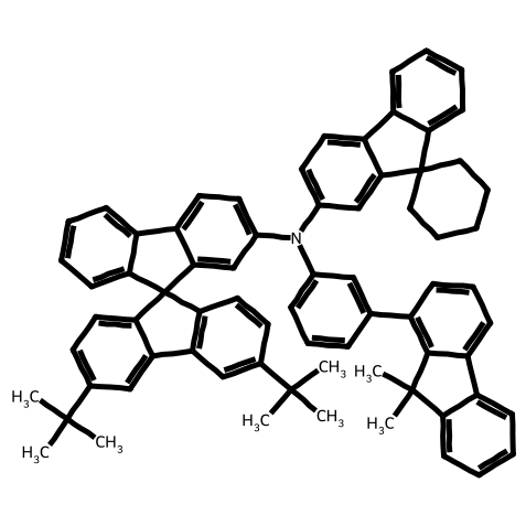 CC(C)(C)c1ccc2c(c1)-c1cc(C(C)(C)C)ccc1C21c2ccccc2-c2ccc(N(c3cccc(-c4cccc5c4C(C)(C)c4ccccc4-5)c3)c3ccc4c(c3)C3(CCCCC3)c3ccccc3-4)cc21